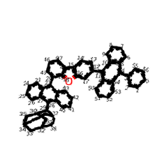 c1ccc(-c2c3ccccc3c(-c3ccc4c(c3)oc3c(-c5c6ccccc6c(C6C7CC8CC(C7)CC6C8)c6ccccc56)cccc34)c3ccccc23)cc1